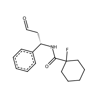 O=CC[C@H](NC(=O)C1(F)CCCCC1)c1ccccc1